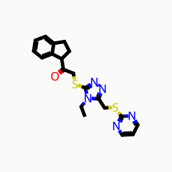 CCn1c(CSc2ncccn2)nnc1SCC(=O)C1CCc2ccccc21